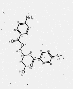 Nc1ccc(C(=O)OOC(CCO)OC(=O)c2ccc(N)cc2)cc1